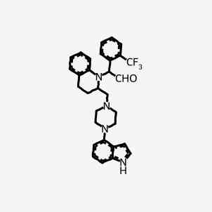 O=CC(c1ccccc1C(F)(F)F)N1c2ccccc2CCC1CN1CCN(c2cccc3[nH]ccc23)CC1